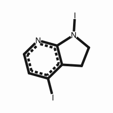 Ic1ccnc2c1CCN2I